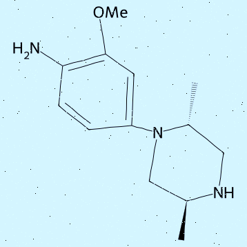 COc1cc(N2C[C@H](C)NC[C@H]2C)ccc1N